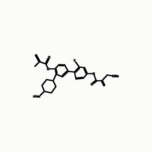 C=C(C)C(=O)Oc1ccc(-c2ccc(OC(=O)C(=C)COC)cc2F)cc1C1CCC(CCCCCC)CC1